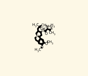 COc1cc2c(cc1OC)C1CC(OC(=O)[C@@H](N)C(C)C)C(CC(C)(C)C)CN1CC2